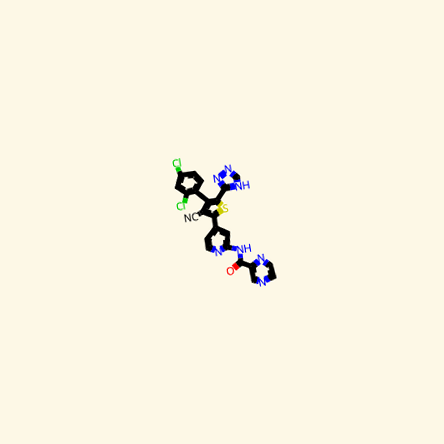 N#Cc1c(-c2ccnc(NC(=O)c3cnccn3)c2)sc(-c2nnc[nH]2)c1-c1ccc(Cl)cc1Cl